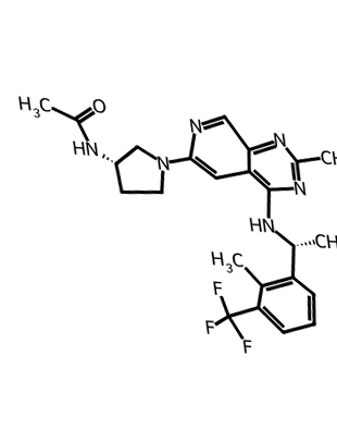 CC(=O)N[C@H]1CCN(c2cc3c(N[C@H](C)c4cccc(C(F)(F)F)c4C)nc(C)nc3cn2)C1